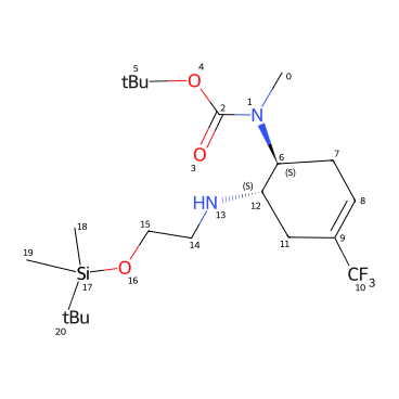 CN(C(=O)OC(C)(C)C)[C@H]1CC=C(C(F)(F)F)C[C@@H]1NCCO[Si](C)(C)C(C)(C)C